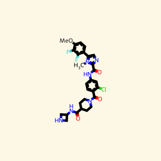 COc1ccc(-c2cnc(C(=O)Nc3ccc(C(=O)N4CCC(C(=O)NC5CNC5)CC4)c(Cl)c3)n2C)c(F)c1F